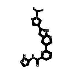 O=C(Nc1ccn[nH]1)c1cccc(-c2cnc3[nH]c(-c4cnn(C(F)F)c4)cc3c2)n1